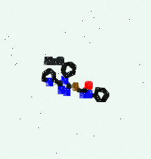 COc1cccc(-n2c(SCC(=O)Nc3ccccc3)nnc2-c2ccccn2)c1